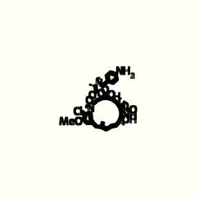 COc1cc2cc(c1Cl)N(C)C(=O)C[C@H](OC(=O)[C@H](C)N(C)C(=O)c1ccc(N)cc1)[C@]1(C)O[C@H]1[C@H](C)[C@@H]1C[C@@](O)(NC(=O)O1)[C@H](C)/C=C/C=C(\C)C2